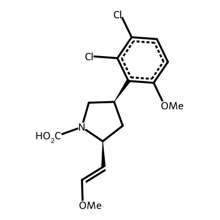 CO/C=C/[C@@H]1C[C@H](c2c(OC)ccc(Cl)c2Cl)CN1C(=O)O